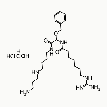 Cl.Cl.Cl.N=C(N)NCCCCCCC(=O)NC(OCc1ccccc1)C(=O)NCCCCNCCCN